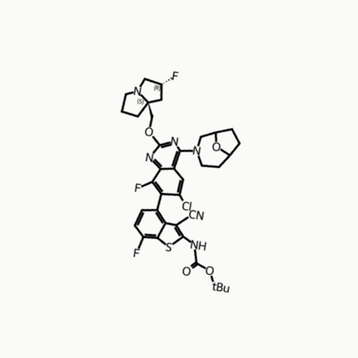 CC(C)(C)OC(=O)Nc1sc2c(F)ccc(-c3c(Cl)cc4c(N5CCC6CCC(C5)O6)nc(OC[C@@]56CCCN5C[C@H](F)C6)nc4c3F)c2c1C#N